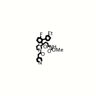 CCc1cccc(-c2c(F)cccc2[C@](O)(CCCNC(=O)OC)[C@@H]2CCCN(C(=O)Cc3ccncc3)C2)c1